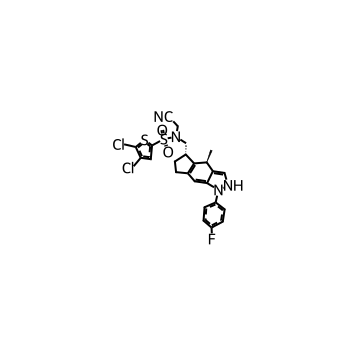 C[C@H]1C2=CNN(c3ccc(F)cc3)C2=CC2=C1[C@@H](CN(CC#N)S(=O)(=O)c1cc(Cl)c(Cl)s1)CC2